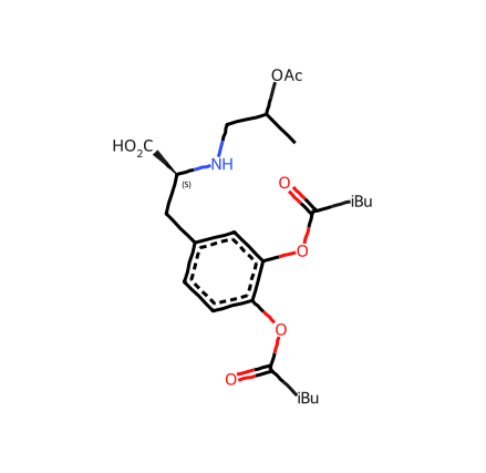 CCC(C)C(=O)Oc1ccc(C[C@H](NCC(C)OC(C)=O)C(=O)O)cc1OC(=O)C(C)CC